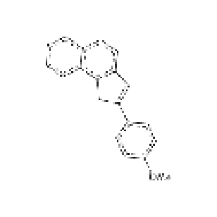 COc1ccc(C2=Cc3ccc4ccccc4c3C2)cc1